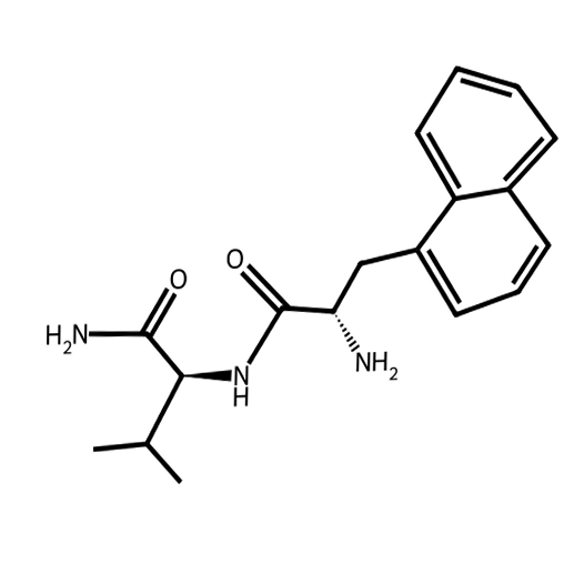 CC(C)[C@H](NC(=O)[C@@H](N)Cc1cccc2ccccc12)C(N)=O